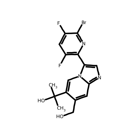 CC(C)(O)c1cn2c(-c3nc(Br)c(F)cc3F)cnc2cc1CO